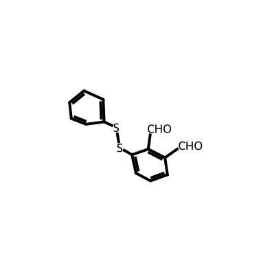 O=Cc1cccc(SSc2ccccc2)c1C=O